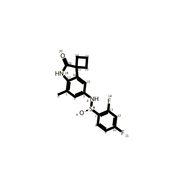 Cc1cc(N[S@@+]([O-])c2ccc(F)cc2F)cc2c1NC(=O)C21CCC1